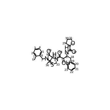 Cc1ccccc1CN1C(=O)[C@H]2N(C(=O)[C@@H](O)[C@H](Cc3ccccc3)NC(=O)[C@H]3CCCO3)CSC21C